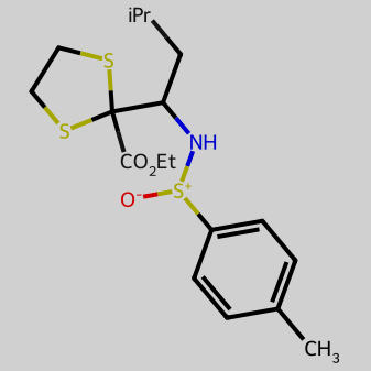 CCOC(=O)C1(C(CC(C)C)N[S+]([O-])c2ccc(C)cc2)SCCS1